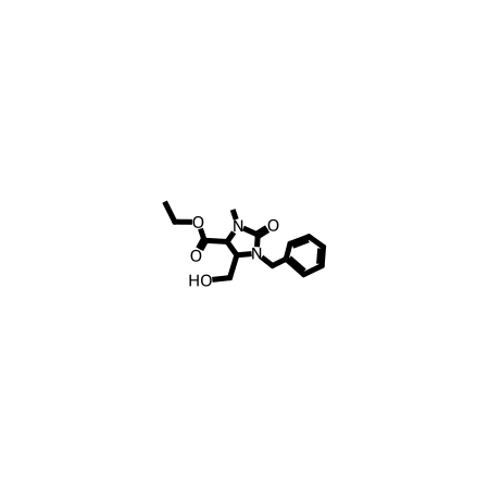 CCOC(=O)C1C(CO)N(Cc2ccccc2)C(=O)N1C